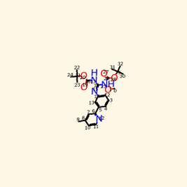 COc1ccc(-c2cc(C)ccn2)cc1N=C(NC(=O)OC(C)(C)C)NC(=O)OC(C)(C)C